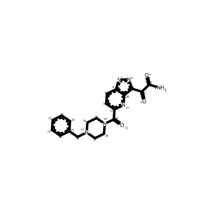 NC(=O)C(=O)c1nsc2ccc(C(=O)N3CCN(Cc4ccccc4)CC3)nc12